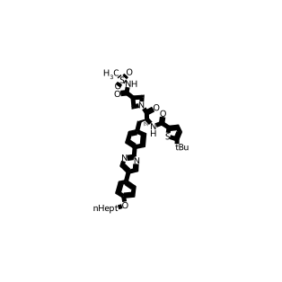 CCCCCCCOc1ccc(-c2cnc(-c3ccc(C[C@H](NC(=O)c4ccc(C(C)(C)C)s4)C(=O)N4CC(C(=O)NS(C)(=O)=O)C4)cc3)nc2)cc1